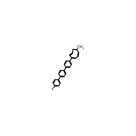 CC1\C=C/C=C(c2ccc(-c3ccc(-c4ccc(F)cc4)cc3)cc2)\C=C\C1